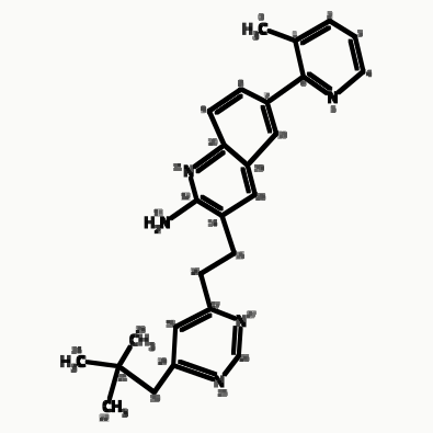 Cc1cccnc1-c1ccc2nc(N)c(CCc3cc(CC(C)(C)C)ncn3)cc2c1